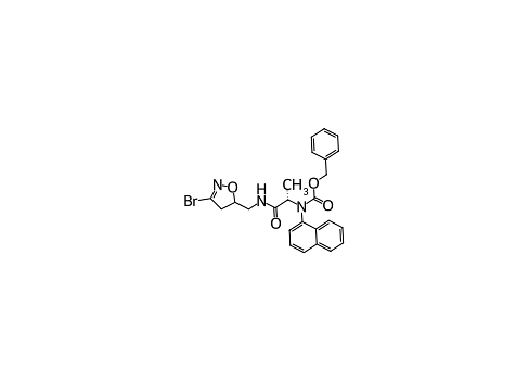 C[C@@H](C(=O)NCC1CC(Br)=NO1)N(C(=O)OCc1ccccc1)c1cccc2ccccc12